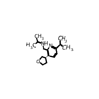 CC(C)NCc1nc(C(C)C)ccc1[C@@H]1CCOC1